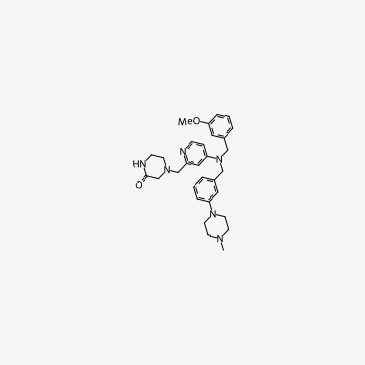 COc1cccc(CN(Cc2cccc(N3CCN(C)CC3)c2)c2ccnc(CN3CCNC(=O)C3)c2)c1